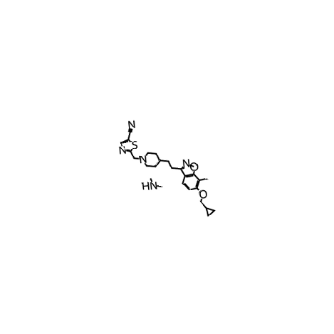 CNC.Cc1c(OCC2CC2)ccc2c(CCC3CCN(Cc4ncc(C#N)s4)CC3)noc12